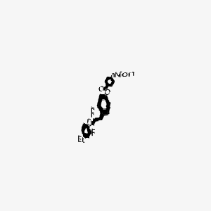 CCCCCCCCCC1CCC(C(=O)OC2CCC(CC(F)COc3ccc(CC)cc3F)CC2)CC1